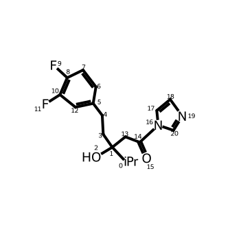 CC(C)C(O)(CCc1ccc(F)c(F)c1)CC(=O)n1ccnc1